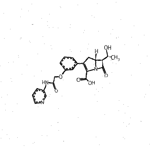 C[C@@H](O)[C@H]1C(=O)N2C(C(=O)O)=C(c3cccc(OCC(=O)Nc4cccnc4)c3)C[C@H]12